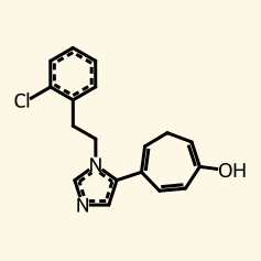 OC1=CCC=C(c2cncn2CCc2ccccc2Cl)C=C1